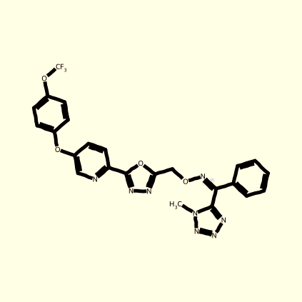 Cn1nnnc1/C(=N\OCc1nnc(-c2ccc(Oc3ccc(OC(F)(F)F)cc3)cn2)o1)c1ccccc1